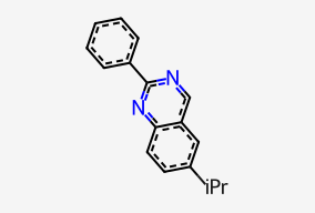 CC(C)c1ccc2nc(-c3ccccc3)ncc2c1